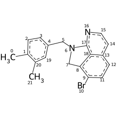 Cc1ccc(CN2Cc3c(Br)ccc4ccnc2c34)cc1C